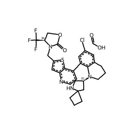 O=C1OC[C@H](C(F)(F)F)N1Cc1cc2nccc(-c3cc(Cl)cc4c3N([C@@H]3CNC5(CCC5)C3)CCC4)c2s1.O=CO